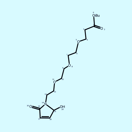 CC(C)COC(=O)CCOCCOCCOCCN1C(=O)C=CC1O